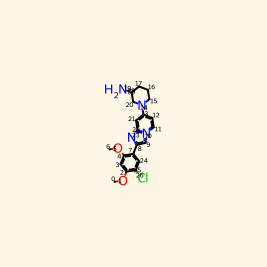 COc1cc(OC)c(-c2cn3ccc(N4CCC[C@H](N)C4)cc3n2)cc1Cl